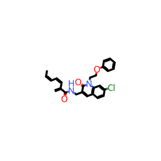 C=C(/C=C\C=C/C)C(=O)NCc1cc2ccc(Cl)cc2n(CCOc2ccccc2)c1=O